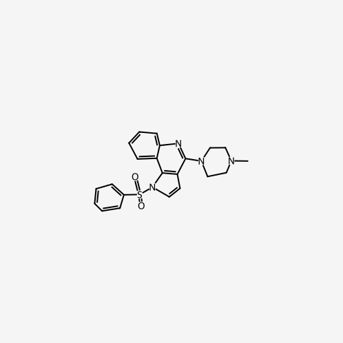 CN1CCN(c2nc3ccccc3c3c2ccn3S(=O)(=O)c2ccccc2)CC1